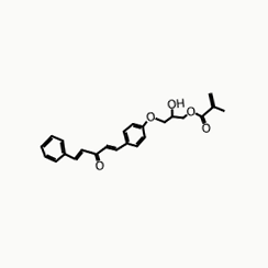 C=C(C)C(=O)OCC(O)COc1ccc(/C=C/C(=O)/C=C/c2ccccc2)cc1